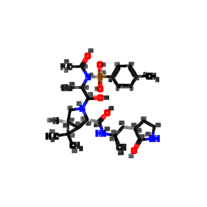 Cc1ccc(S(=O)(=O)N(C(=O)C(F)(F)F)C(C(=O)N2C[C@H]3C([C@H]2C(=O)N[C@H](C#N)C[C@@H]2CCNC2=O)C3(C)C)C(C)(C)C)cc1